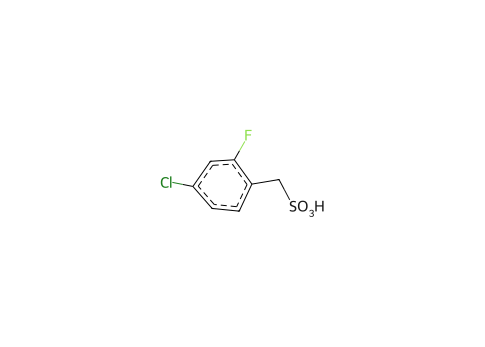 O=S(=O)(O)Cc1ccc(Cl)cc1F